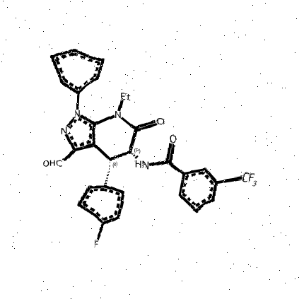 CCN1C(=O)[C@H](NC(=O)c2cccc(C(F)(F)F)c2)[C@H](c2ccc(F)cc2)c2c(C=O)nn(-c3ccccc3)c21